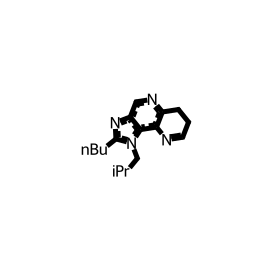 CCCCc1nc2cnc3c(c2n1CC(C)C)N=CCC3